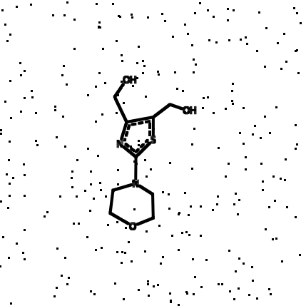 OCc1nc(N2CCOCC2)sc1CO